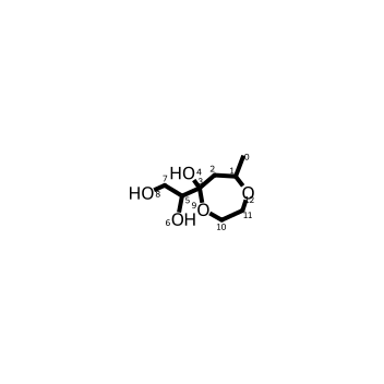 CC1CC(O)(C(O)CO)OCCO1